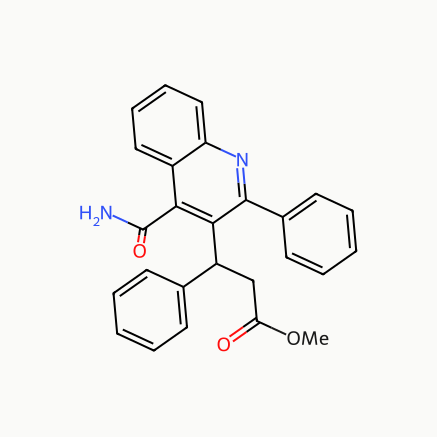 COC(=O)CC(c1ccccc1)c1c(-c2ccccc2)nc2ccccc2c1C(N)=O